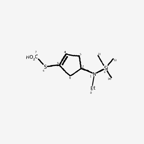 CCN(C1CC=C(SC(=O)O)C1)[Si](C)(C)C